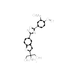 CCOc1ccc(-c2nc(-c3ccc4oc(C(N)(CO)CO)cc4c3)no2)cc1OC